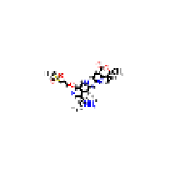 CC[C@@](C)(N)c1cnc(OCCCS(C)(=O)=O)c2cnc(Nc3ccc4c(n3)C3(CC3)[C@@H](C)OC4=O)cc12